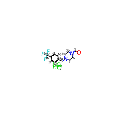 Cl.Cl.O=CN1CCN(Cc2ccc(C(F)(F)F)cc2)CC1